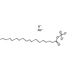 CCCCCCCCCCCCCCCCCC(=O)OP(=O)([O-])[O-].[K+].[Na+]